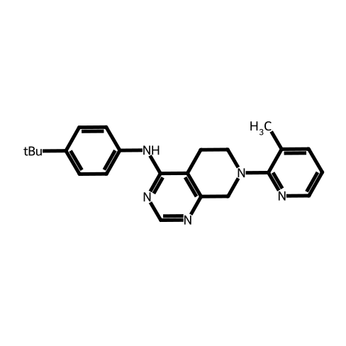 Cc1cccnc1N1CCc2c(ncnc2Nc2ccc(C(C)(C)C)cc2)C1